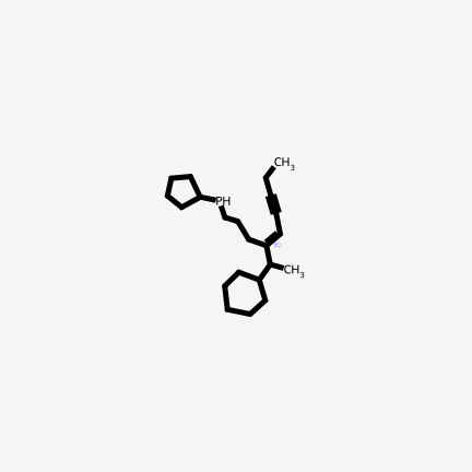 CCC#C/C=C(\CCCPC1CCCC1)C(C)C1CCCCC1